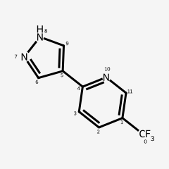 FC(F)(F)c1ccc(-c2cn[nH]c2)nc1